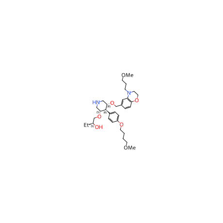 CC[C@H](O)CO[C@@H]1CNC[C@H](OCc2ccc3c(c2)N(CCCOC)CCO3)[C@H]1c1ccc(OCCCCOC)cc1